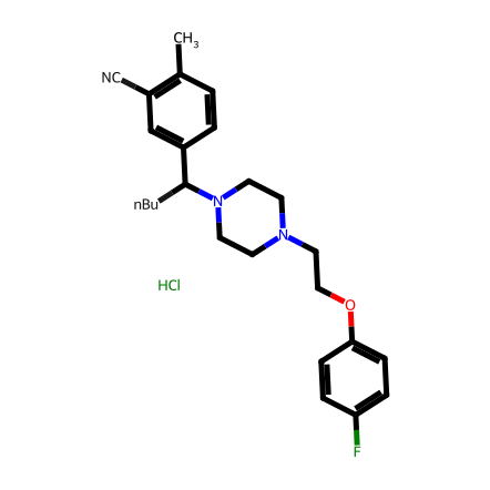 CCCCC(c1ccc(C)c(C#N)c1)N1CCN(CCOc2ccc(F)cc2)CC1.Cl